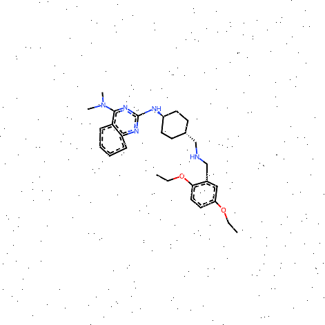 CCOc1ccc(OCC)c(CNC[C@H]2CC[C@H](Nc3nc(N(C)C)c4ccccc4n3)CC2)c1